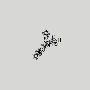 O=C1NC(=O)/C(=C/c2cc(OCc3ccccc3)nc(N3CC4CN(S(=O)(=O)c5ccccc5)CC4C3)n2)S1